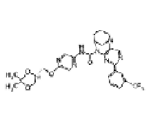 CC1(C)OC[C@@H](COc2cnc(NC(=O)N3c4nc(-c5cccc(C(F)(F)F)c5)ncc4N4CCCC3C4)cn2)O1